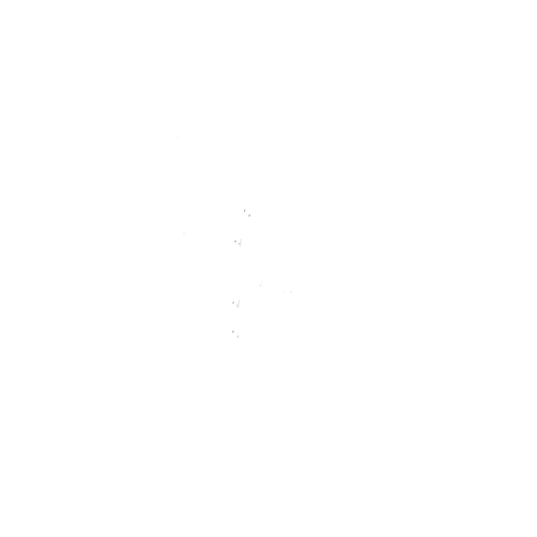 O=C(NN1CCCCC1)C1=NN(c2ccc(Cl)cc2Cl)C(c2cc(CCl)cs2)C1